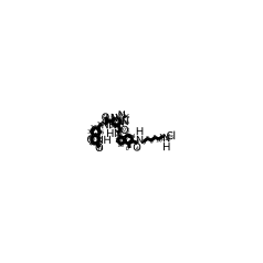 Cc1c(C(=O)NCCCCCCNCl)ccc2c1CC[C@@H]2NC(=O)c1cc(C(=O)NCc2ccc3c(c2)NC(=O)CO3)nc2ncnn12